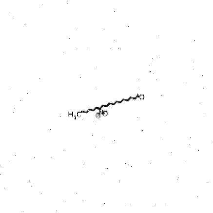 CCCCC/C=C(/C/C=C/CCCCCCC[C]=O)[N+](=O)[O-]